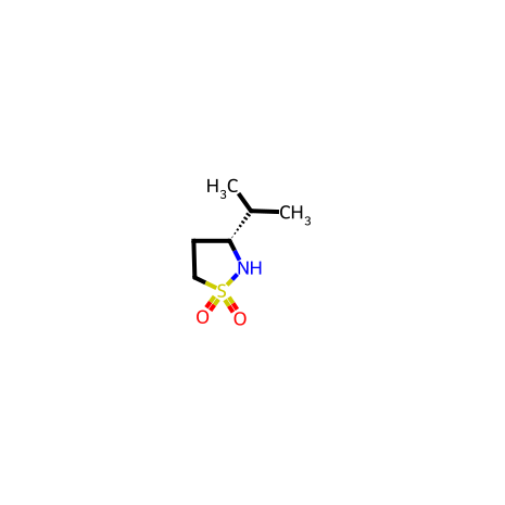 CC(C)[C@H]1CCS(=O)(=O)N1